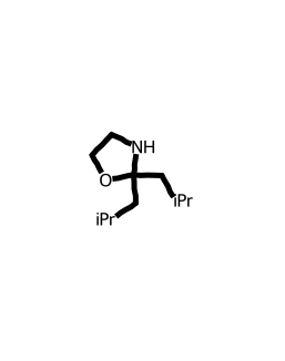 CC(C)CC1(CC(C)C)NCCO1